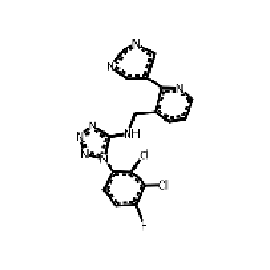 Fc1ccc(-n2nnnc2NCc2cccnc2-c2cncnc2)c(Cl)c1Cl